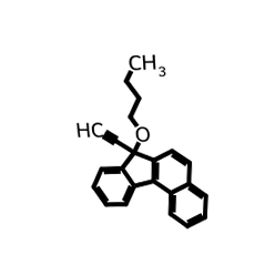 C#CC1(OCCCC)c2ccccc2-c2c1ccc1ccccc21